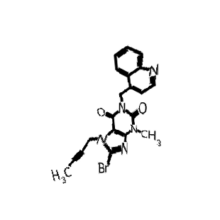 CC#CCn1c(Br)nc2c1c(=O)n(Cc1ccnc3ccccc13)c(=O)n2C